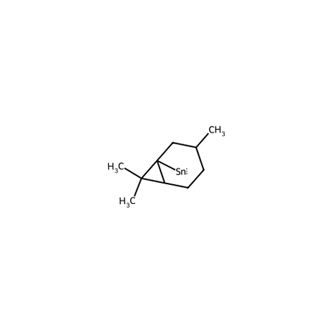 CC1CCC2C(C)(C)[C]2([Sn])C1